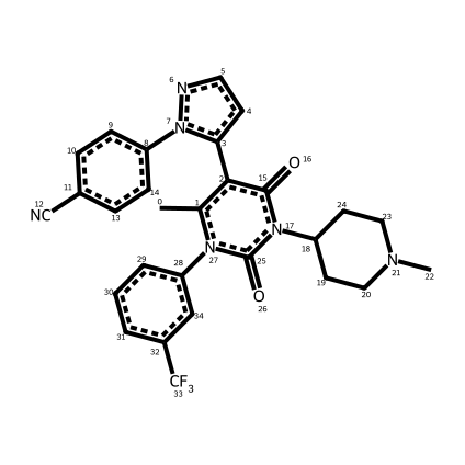 Cc1c(-c2ccnn2-c2ccc(C#N)cc2)c(=O)n(C2CCN(C)CC2)c(=O)n1-c1cccc(C(F)(F)F)c1